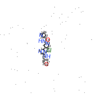 O=C(Nc1cc(-c2cncc(NCC3CCOCC3)n2)c(Cl)cn1)c1cccnc1